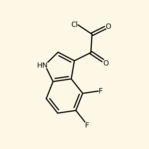 O=C(Cl)C(=O)c1c[nH]c2ccc(F)c(F)c12